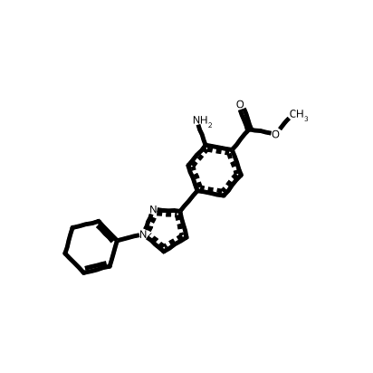 COC(=O)c1ccc(-c2ccn(C3=CCCC=C3)n2)cc1N